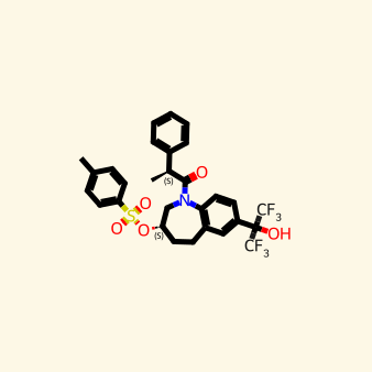 Cc1ccc(S(=O)(=O)O[C@H]2CCc3cc(C(O)(C(F)(F)F)C(F)(F)F)ccc3N(C(=O)[C@@H](C)c3ccccc3)C2)cc1